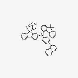 CC1(C)c2ccccc2-c2c(N(c3ccc(-c4cccc5ccccc45)cc3)c3ccc4c(c3)C3(c5ccccc5-4)C4CC5CC(C4)CC3C5)cccc21